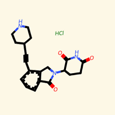 Cl.O=C1CCC(N2Cc3c(C#CC4CCNCC4)cccc3C2=O)C(=O)N1